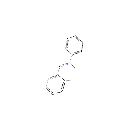 [O-][N+](=Cc1ccccc1F)c1ccccc1